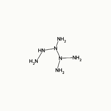 NNN(N)N(N)N